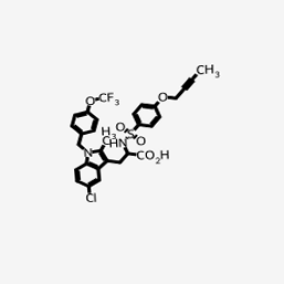 CC#CCOc1ccc(S(=O)(=O)NC(Cc2c(C)n(Cc3ccc(OC(F)(F)F)cc3)c3ccc(Cl)cc23)C(=O)O)cc1